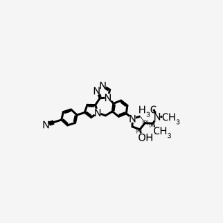 C[C@H]([C@H]1CN(c2ccc3c(c2)Cn2cc(-c4ccc(C#N)cc4)cc2-c2nncn2-3)C[C@@H]1O)N(C)C